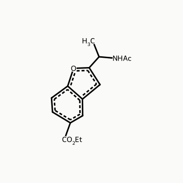 CCOC(=O)c1ccc2oc(C(C)NC(C)=O)cc2c1